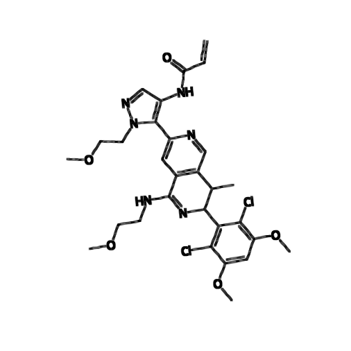 C=CC(=O)Nc1cnn(CCOC)c1-c1cc2c(cn1)C(C)C(c1c(Cl)c(OC)cc(OC)c1Cl)N=C2NCCOC